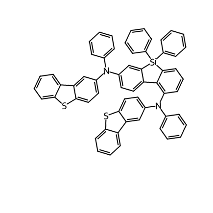 c1ccc(N(c2ccc3c(c2)[Si](c2ccccc2)(c2ccccc2)c2cccc(N(c4ccccc4)c4ccc5sc6ccccc6c5c4)c2-3)c2ccc3sc4ccccc4c3c2)cc1